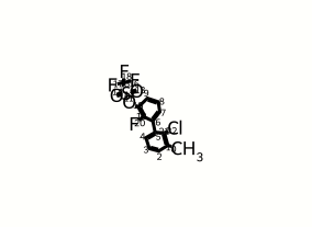 Cc1cccc(-c2cccc(OS(=O)(=O)C(F)(F)F)c2F)c1Cl